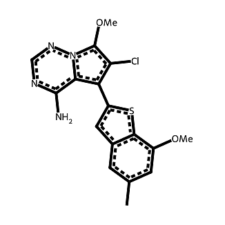 COc1cc(C)cc2cc(-c3c(Cl)c(OC)n4ncnc(N)c34)sc12